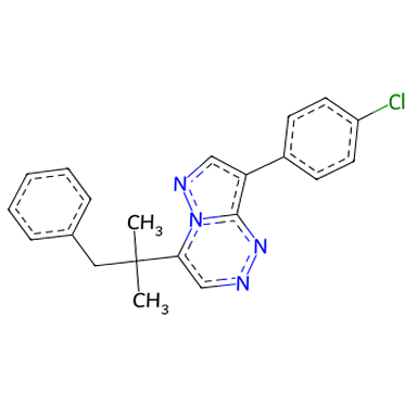 CC(C)(Cc1ccccc1)c1cnnc2c(-c3ccc(Cl)cc3)cnn12